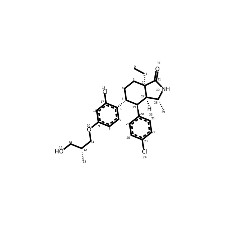 CC[C@@]12CC[C@@H](c3ccc(OC[C@H](C)CO)cc3Cl)[C@H](c3ccc(Cl)cc3)[C@@H]1[C@@H](C)NC2=O